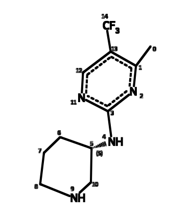 Cc1nc(N[C@H]2CCCNC2)ncc1C(F)(F)F